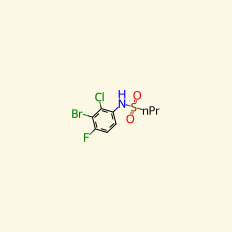 CCCS(=O)(=O)Nc1ccc(F)c(Br)c1Cl